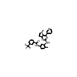 Cc1ccc(NC(=O)c2cccc(C(F)(F)F)c2)cc1Nc1nc(-c2cccnc2)c2c(ccn2C)n1